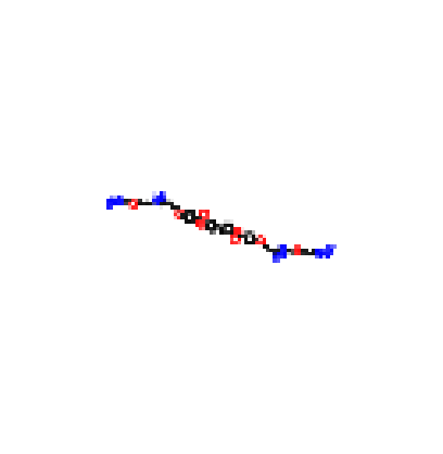 [N-]=[N+]=NCCCCOCCn1cc(CCCOc2ccc(C(=O)Oc3ccc(-c4ccc(OC(=O)c5ccc(OCCCc6cn(CCCCOCCN=[N+]=[N-])nn6)cc5)cc4)cc3)cc2)nn1